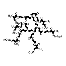 CCCCCCCCSCC(C)C(=O)OCCOC(=O)CCN(CCNCCN(CCC(=O)OCCOC(=O)C(C)SCCCCCCC)CCN(CCC(=O)OCCOC(=O)C(C)CSCCCCCCCC)CCN(CCC(=O)OCCOC(=O)C(C)CSCCCCCCCC)CCC(=O)OCCOC(=O)C(C)CSCCCCCCCC)CCC(=O)OCCOC(=O)C(C)CSCCCCCCCC